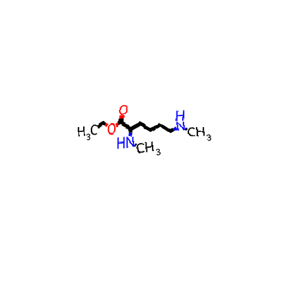 CCOC(=O)C(CCCCNC)NC